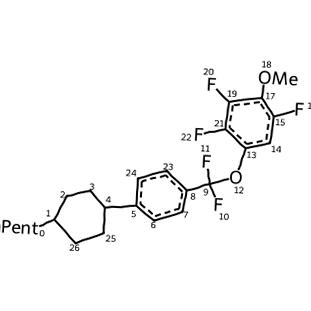 CCCCCC1CCC(c2ccc(C(F)(F)Oc3cc(F)c(OC)c(F)c3F)cc2)CC1